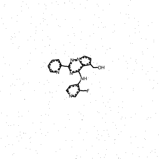 OCc1ccn2nc(-c3ccccn3)nc(Nc3ccncc3F)c12